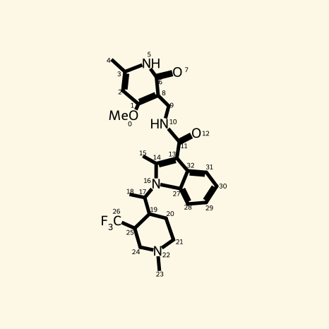 COc1cc(C)[nH]c(=O)c1CNC(=O)c1c(C)n(C(C)C2CCN(C)CC2C(F)(F)F)c2ccccc12